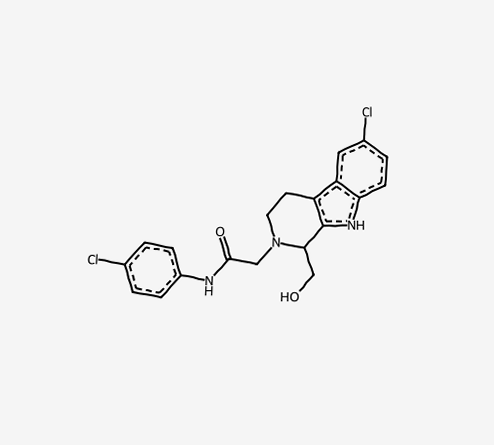 O=C(CN1CCc2c([nH]c3ccc(Cl)cc23)C1CO)Nc1ccc(Cl)cc1